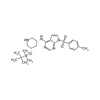 Cc1ccc(S(=O)(=O)n2ccc3c(N[C@H]4CNC[C@@H](O[Si](C)(C)C(C)(C)C)C4)ncnc32)cc1